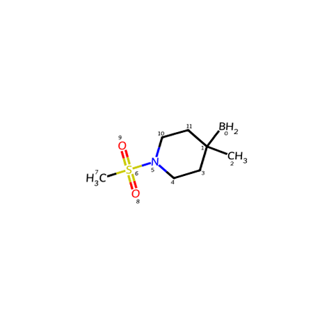 BC1(C)CCN(S(C)(=O)=O)CC1